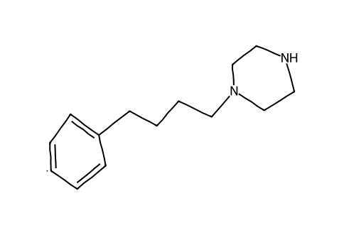 [c]1ccc(CCCCN2CCNCC2)cc1